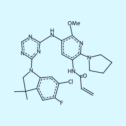 C=CC(=O)Nc1cc(Nc2ncnc(N3CC(C)(C)c4cc(F)c(Cl)cc43)n2)c(OC)nc1N1CCCC1